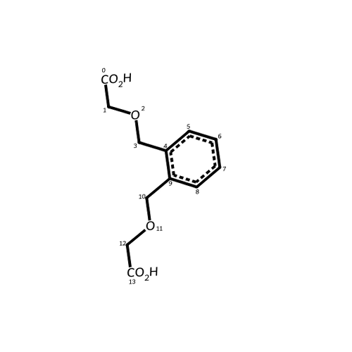 O=C(O)COCc1ccccc1COCC(=O)O